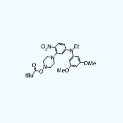 CCN(c1cc(OC)cc(OC)c1)c1ccc([N+](=O)[O-])c(N2CCN(OC(=O)C(C)(C)C)CC2)c1